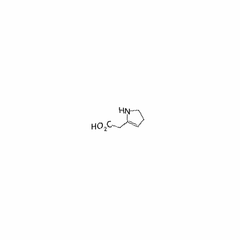 O=C(O)CC1=CCCN1